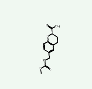 COC(=O)NCc1ccc2c(c1)CC[C@H](C(=O)O)O2